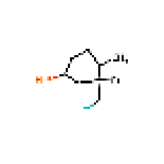 CCC1(CF)CC(P)CCC1C